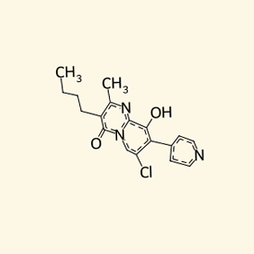 CCCCc1c(C)nc2c(O)c(-c3ccncc3)c(Cl)cn2c1=O